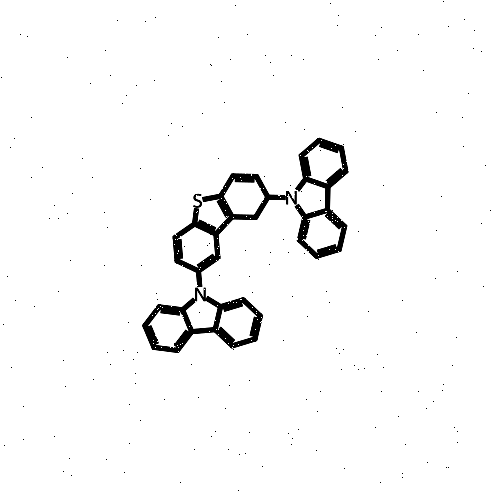 C1=CC(n2c3ccccc3c3ccccc32)Cc2c1sc1ccc(-n3c4ccccc4c4ccccc43)cc21